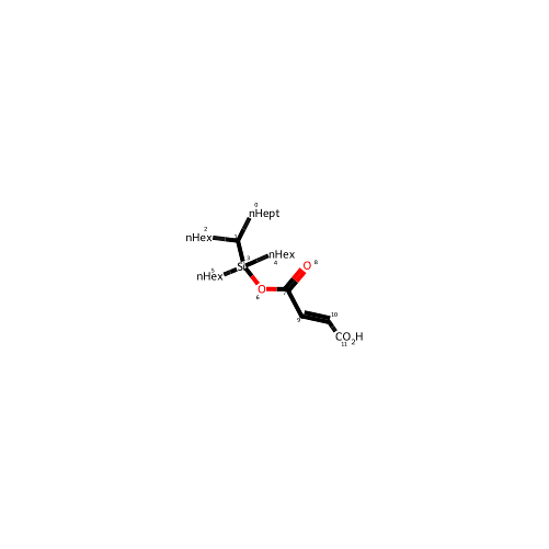 CCCCCCCC(CCCCCC)[Si](CCCCCC)(CCCCCC)OC(=O)C=CC(=O)O